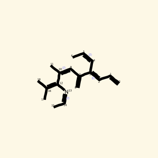 C=C/C=C(\C=C/C)C(=C)/C=C(/C)C(/N=C\C)=C(C)C